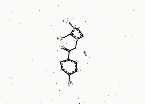 Cc1n(CC(=O)c2ccc(C(F)(F)F)cc2)cc[n+]1C.[Br-]